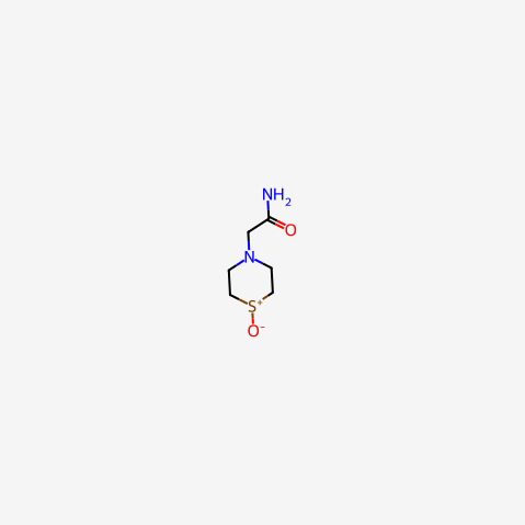 NC(=O)CN1CC[S+]([O-])CC1